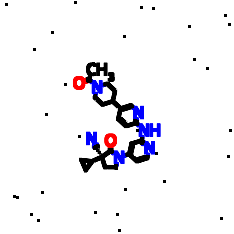 CC(=O)N1CCC(c2ccc(Nc3cc(N4CC[C@@](C#N)(C5CC5)C4=O)ccn3)nc2)CC1